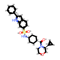 O=C([C@H]1CC[C@H](NS(=O)(=O)c2ccc3cc(-c4ccccc4)[nH]c3c2)CC1)N1CCOC[C@@H]1C1=CC1